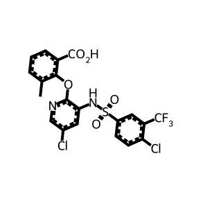 Cc1cccc(C(=O)O)c1Oc1ncc(Cl)cc1NS(=O)(=O)c1ccc(Cl)c(C(F)(F)F)c1